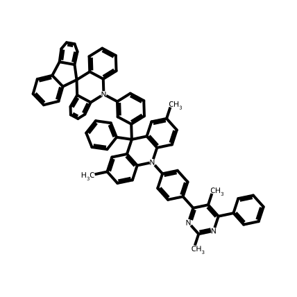 Cc1ccc2c(c1)C(c1ccccc1)(c1cccc(N3c4ccccc4C4(c5ccccc5-c5ccccc54)c4ccccc43)c1)c1cc(C)ccc1N2c1ccc(-c2nc(C)nc(-c3ccccc3)c2C)cc1